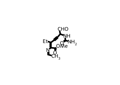 C/C=N\C(C(=O)OC)=C(\C#CC(C=O)NC(N)=O)CC